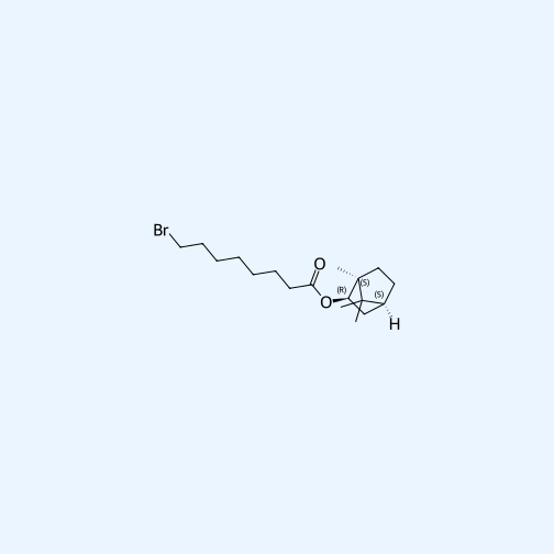 CC1(C)[C@H]2CC[C@]1(C)[C@H](OC(=O)CCCCCCCBr)C2